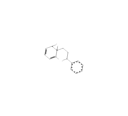 C1=CC2OC23CCC(c2ccccc2)OC3=C1